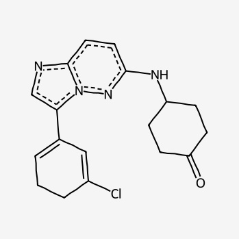 O=C1CCC(Nc2ccc3ncc(C4=CCCC(Cl)=C4)n3n2)CC1